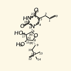 C=CCc1cn([C@@H]2O[C@H](CCP(=C)(C)C)[C@@H](O)C2O)c(=O)[nH]c1=O